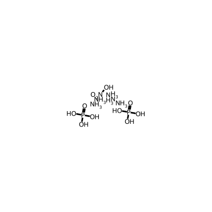 N.N.N.N.N.O=P(O)(O)O.O=P(O)(O)O.O=[N+]([O-])O